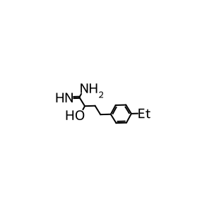 [CH2]Cc1ccc(CCC(O)C(=N)N)cc1